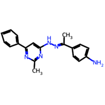 C/C(=N\Nc1cc(-c2ccccc2)nc(C)n1)c1ccc(N)cc1